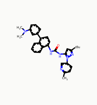 Cc1ccc(-n2nc(C(C)(C)C)cc2NC(=O)Nc2ccc(-c3cccc(N(C)C)c3)c3ccccc23)cn1